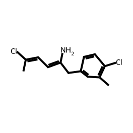 C/C(Cl)=C\C=C(/N)Cc1ccc(Cl)c(C)c1